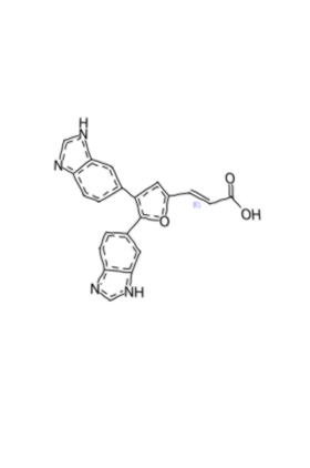 O=C(O)/C=C/c1cc(-c2ccc3nc[nH]c3c2)c(-c2ccc3nc[nH]c3c2)o1